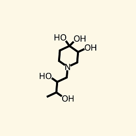 CC(O)C(O)CN1CCC(O)(O)C(O)C1